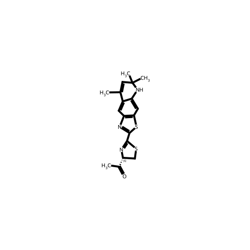 CC(=O)[C@H]1CSC(c2nc3cc4c(cc3s2)NC(C)(C)C=C4C)=N1